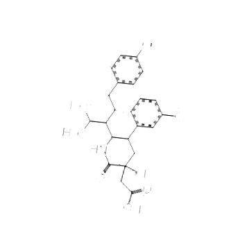 CC(O)C(CCc1ccc(Cl)cc1)C1NC(=O)C(C)(CC(=O)O)CC1c1cccc(Cl)c1